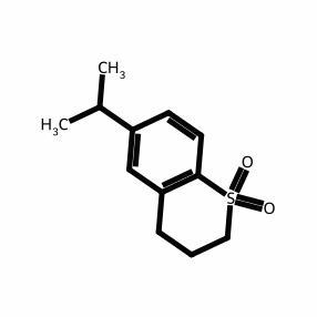 CC(C)c1ccc2c(c1)CCCS2(=O)=O